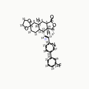 C[C@H]1OC(=O)C2C[C@@H]3CC4(CCC3[C@@H](/C=C/c3ccc(-c5cccc(F)c5)cn3)[C@@H]21)OCCO4